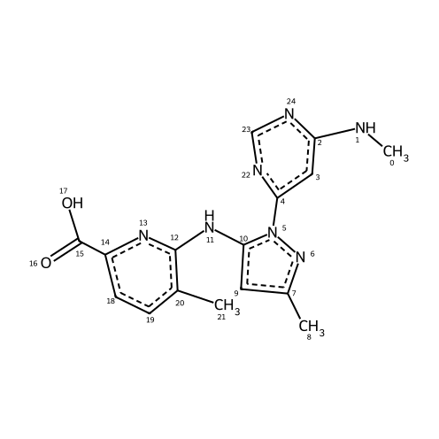 CNc1cc(-n2nc(C)cc2Nc2nc(C(=O)O)ccc2C)ncn1